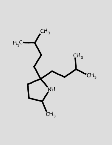 CC(C)CCC1(CCC(C)C)CCC(C)N1